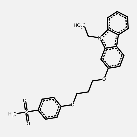 CS(=O)(=O)c1ccc(OCCCOc2ccc3c4ccccc4n(CC(=O)O)c3c2)cc1